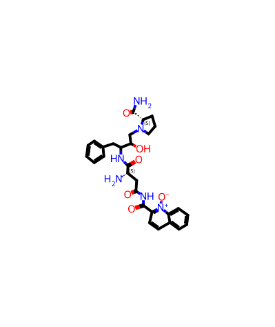 NC(=O)[C@@H]1CCCN1CC(O)C(Cc1ccccc1)NC(=O)[C@@H](N)CC(=O)NC(=O)c1ccc2ccccc2[n+]1[O-]